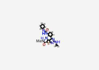 CNC(=O)c1sc2nc(NC3CC3)nc(-c3cccc(NC(=O)Nc4ccccc4)c3)c2c1N